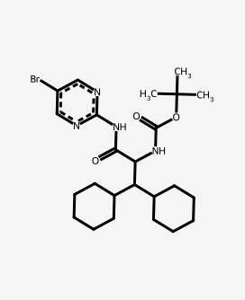 CC(C)(C)OC(=O)NC(C(=O)Nc1ncc(Br)cn1)C(C1CCCCC1)C1CCCCC1